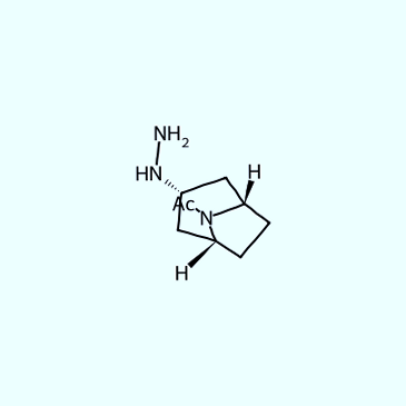 CC(=O)N1[C@@H]2CC[C@H]1C[C@@H](NN)C2